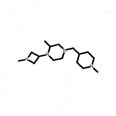 CC1CN(CC2CCN(C)CC2)CCN1C1CN(C)C1